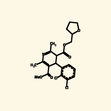 COC(=O)C1=C(C)N=C(C)C(C(=O)OCC2CCCO2)C1c1cccc(Cl)c1Cl